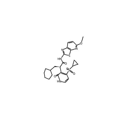 COc1ccc2nc(NC(=O)[C@H](CC3CCCCC3)c3c(S(=O)(=O)C4CC4)cc[nH]c3=O)sc2n1